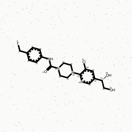 O=C(Nc1ccc(CF)cc1)N1CCN(c2ncc([C@H](O)CO)cc2Cl)CC1